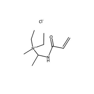 C=CC(=O)NC(C)[N+](C)(CC)CC.[Cl-]